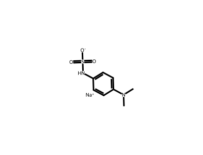 CN(C)c1ccc(NS(=O)(=O)[O-])cc1.[Na+]